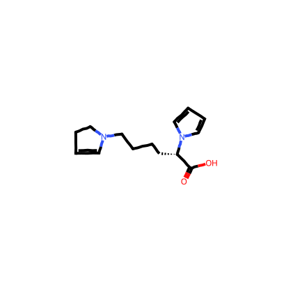 O=C(O)[C@H](CCCCN1C=CCC1)n1cccc1